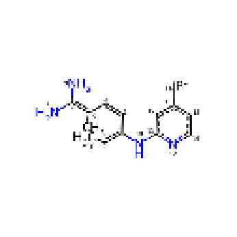 C/C=C(\C=C/C(C)=C(N)N)Nc1cc(C(C)C)ccn1